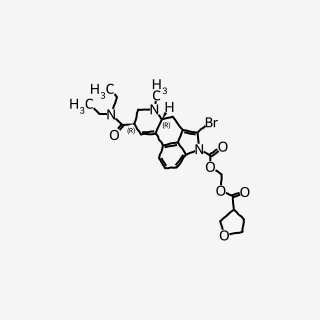 CCN(CC)C(=O)[C@@H]1C=C2c3cccc4c3c(c(Br)n4C(=O)OCOC(=O)C3CCOC3)C[C@H]2N(C)C1